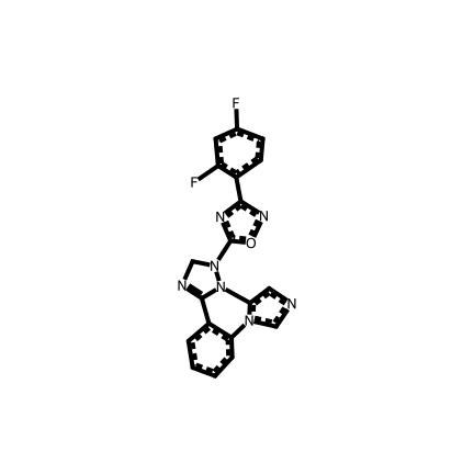 Fc1ccc(-c2noc(N3CN=C4c5ccccc5-n5cncc5N43)n2)c(F)c1